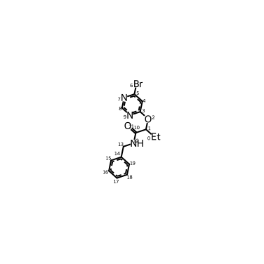 CCC(Oc1cc(Br)ncn1)C(=O)NCc1ccccc1